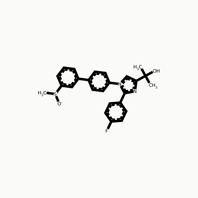 C[S+]([O-])c1cccc(-c2ccc(-n3cc(C(C)(C)O)nc3-c3ccc(F)cc3)cc2)c1